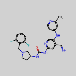 Cc1cc(Nc2cnc(NC(=O)N[C@H]3CCN(Cc4c(F)cccc4F)C3)cc2C=N)ccn1